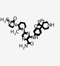 CCCC(=O)C1(c2ccc(Nc3nc(N4CCC[C@@H](N5CCN(C)C5=O)[C@H]4C)cnc3C(N)=O)cc2)CCNCC1